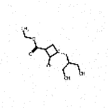 CCOC(=O)C1C[C@H](CC(CC)CC)C1C